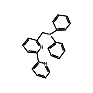 c1ccc(P(Cc2cccc(-c3ccccn3)n2)c2ccccc2)cc1